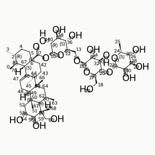 C[C@H]1[C@H](C)CC[C@]2(C(=O)O[C@@H]3O[C@H](CO[C@@H]4O[C@H](CO)[C@@H](O[C@@H]5O[C@@H](C)[C@H](O)[C@@H](O)[C@H]5O)[C@H](O)[C@H]4O)[C@@H](O)[C@H](O)[C@H]3O)CC[C@]3(C)C(=CC[C@@H]4[C@@]5(C)C[C@@H](O)[C@H](O)[C@@](C)(CO)[C@@H]5[C@H](C)C[C@]43C)[C@H]12